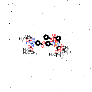 CC(C)(C)OC(=O)CC(C(=O)OC(C)(C)C)N(Cc1cccc(C(=O)O)c1)S(=O)(=O)N(Cc1ccc(OC(=O)c2ccc(NC(=NC(=O)OC(C)(C)C)NC(=O)OC(C)(C)C)cc2)cc1)C(=O)OCc1ccccc1